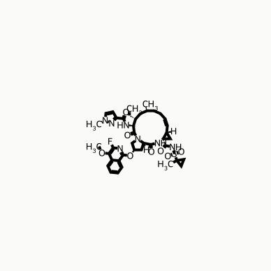 CC[C@@H]1C[C@H](C)CC/C=C\[C@@H]2C[C@@]2(C(=O)NS(=O)(=O)C2(C)CC2)NC(=O)[C@@H]2C[C@@H](Oc3nc(F)c(OC)c4ccccc34)CN2C(=O)[C@H]1NC(=O)c1ccn(C)n1